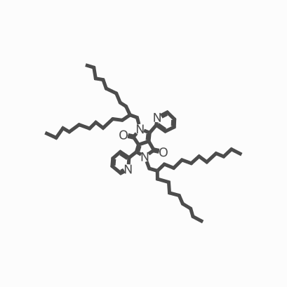 CCCCCCCCCCC(CCCCCCCC)CN1C(=O)C2=C(c3ccccn3)N(CC(CCCCCCCC)CCCCCCCCCC)C(=O)C2=C1c1ccccn1